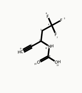 C#CC(CC(F)(F)F)NC(=O)O